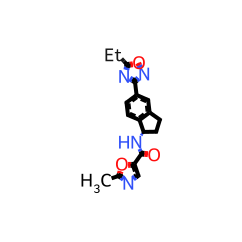 CCc1nc(-c2ccc3c(c2)CC[C@H]3NC(=O)c2cnc(C)o2)no1